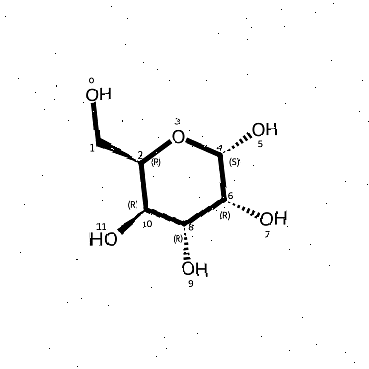 OC[C@H]1O[C@H](O)[C@H](O)[C@H](O)[C@H]1O